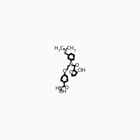 CN(C)Cc1cccc(N(CCOc2ccc(C(=O)NO)cc2)C(=O)c2ccco2)c1.Cl